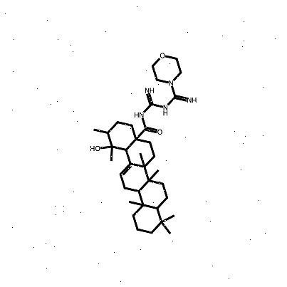 CC1CCC2(C(=O)NC(=N)NC(=N)N3CCOCC3)CCC3(C)C(=CCC4C5(C)CCCC(C)(C)C5CCC43C)C2C1(C)O